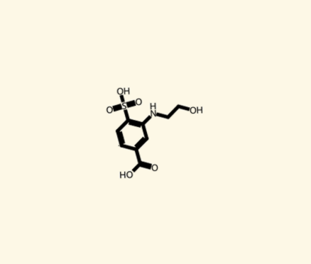 O=C(O)c1[c]cc(S(=O)(=O)O)c(NCCO)c1